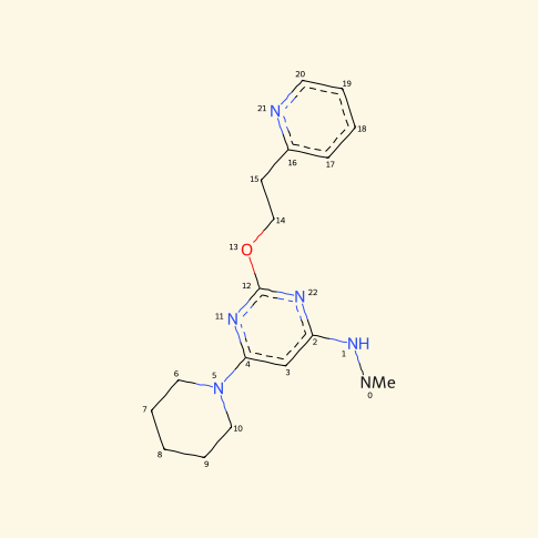 CNNc1cc(N2CCCCC2)nc(OCCc2ccccn2)n1